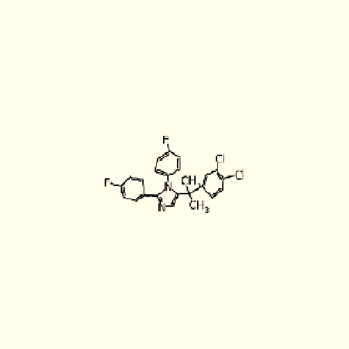 CC(C)(c1ccc(Cl)c(Cl)c1)c1cnc(-c2ccc(F)cc2)n1-c1ccc(F)cc1